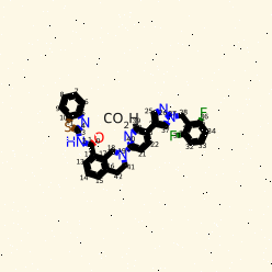 O=C(Nc1nc2ccccc2s1)c1cccc2c1CN(c1ccc(-c3cnn(Cc4c(F)cccc4F)c3)c(C(=O)O)n1)CC2